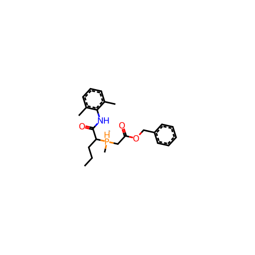 CCCC(C(=O)Nc1c(C)cccc1C)[PH](C)(C)CC(=O)OCc1ccccc1